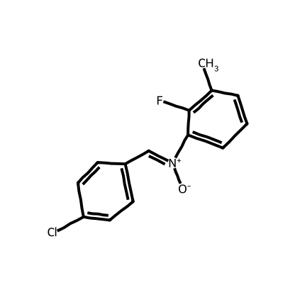 Cc1cccc([N+]([O-])=Cc2ccc(Cl)cc2)c1F